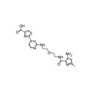 Cn1cc(N)c(C(=O)NCCOCCNc2cc(-c3nc(C(=O)O)cs3)ccn2)n1